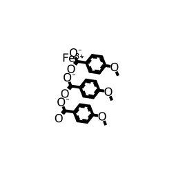 COc1ccc(C(=O)[O-])cc1.COc1ccc(C(=O)[O-])cc1.COc1ccc(C(=O)[O-])cc1.[Fe+3]